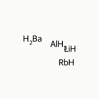 [AlH3].[BaH2].[LiH].[RbH]